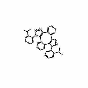 CC(C)c1ccccc1-n1nnc2c1-c1ccccc1-c1c(nnn1-c1ccccc1C(C)C)-c1ccccc1-2